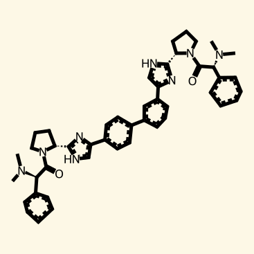 CN(C)[C@@H](C(=O)N1CCC[C@@H]1c1nc(-c2ccc(-c3cccc(-c4c[nH]c([C@@H]5CCCN5C(=O)[C@@H](c5ccccc5)N(C)C)n4)c3)cc2)c[nH]1)c1ccccc1